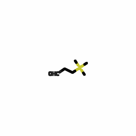 CS(C)(C)CCC=O